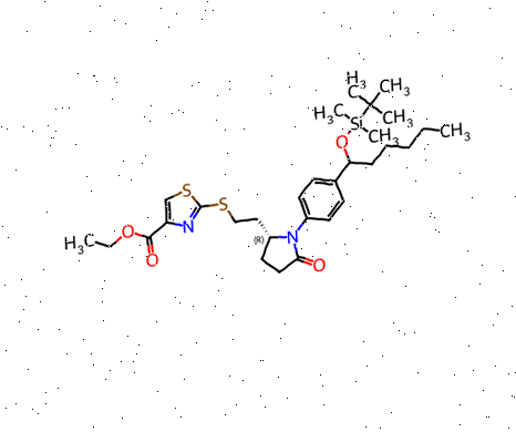 CCCCCC(O[Si](C)(C)C(C)(C)C)c1ccc(N2C(=O)CC[C@@H]2CCSc2nc(C(=O)OCC)cs2)cc1